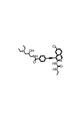 CCNC(=O)Nc1ncc2ccc(Cl)cc2c1C#Cc1ccc(C(=O)NCC(O)CN(CC)CC)cc1